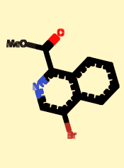 COC(=O)c1ncc(Br)c2ccccc12